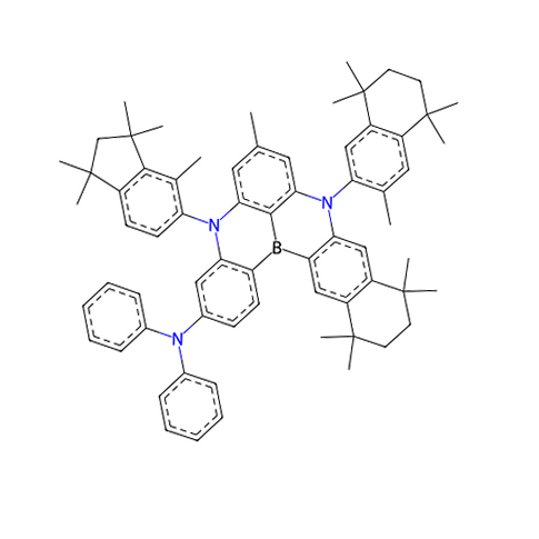 Cc1cc2c3c(c1)N(c1ccc4c(c1C)C(C)(C)CC4(C)C)c1cc(N(c4ccccc4)c4ccccc4)ccc1B3c1cc3c(cc1N2c1cc2c(cc1C)C(C)(C)CCC2(C)C)C(C)(C)CCC3(C)C